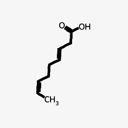 C/C=C\CC/C=C/CC(=O)O